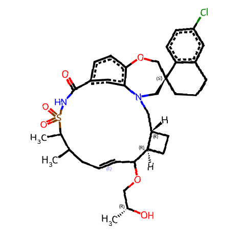 CC1C/C=C/C(OC[C@@H](C)O)[C@@H]2CC[C@H]2CN2C[C@@]3(CCCc4cc(Cl)ccc43)COc3ccc(cc32)C(=O)NS(=O)(=O)C1C